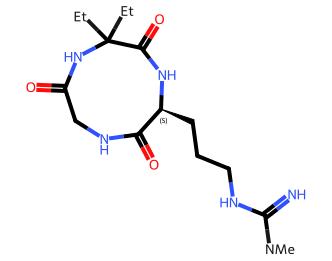 CCC1(CC)NC(=O)CNC(=O)[C@H](CCCNC(=N)NC)NC1=O